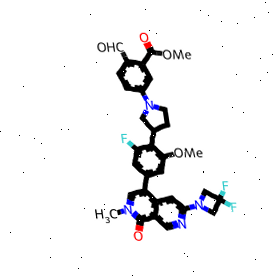 COC(=O)c1cc(N2CCC(c3c(F)cc(-c4cn(C)c(=O)c5cnc(N6CC(F)(F)C6)cc45)cc3OC)C2)ccc1C=O